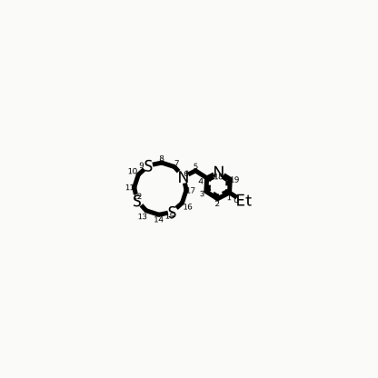 CCc1ccc(CN2CCSCCSCCSCC2)nc1